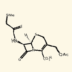 CSCC(=S)N[C@@H]1C(=O)N2C(C(=O)O)=C(COC(C)=O)CS[C@H]12